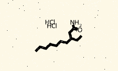 CCCCCCCC(CC)CC(N)=O.Cl.Cl